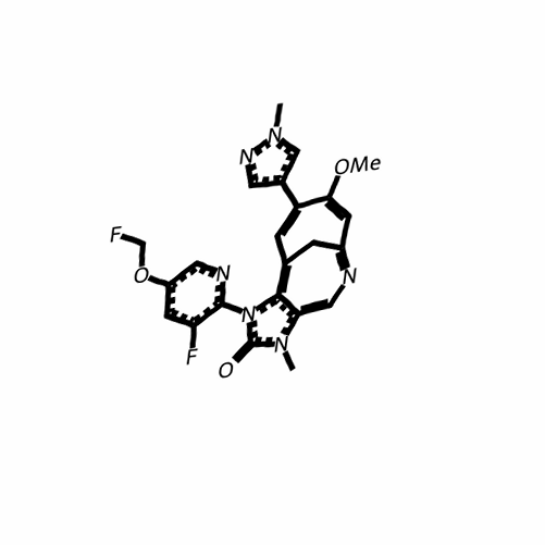 COC1=CC2=NC=c3c(n(-c4ncc(OCF)cc4F)c(=O)n3C)=C(C=C1c1cnn(C)c1)C2